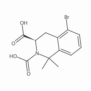 CC1(C)c2cccc(Br)c2C[C@H](C(=O)O)N1C(=O)O